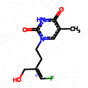 Cc1cn(CC/C(=C\F)CO)c(=O)[nH]c1=O